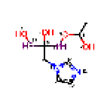 CC(O)OPC(O)(Cn1ccnc1)PO